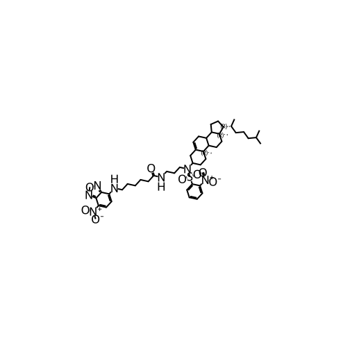 CC(C)CCCC(C)[C@H]1CCC2C3CC=C4CC(N(CCCNC(=O)CCCCCNc5ccc([N+](=O)[O-])c6nonc56)S(=O)(=O)c5ccccc5[N+](=O)[O-])CC[C@]4(C)C3CC[C@@]21C